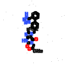 CCCCCc1nc2[nH]c(=O)n(CC(=O)OC)c(=O)c2n1Cc1ccc(-c2ccccc2-c2nnn[nH]2)cc1